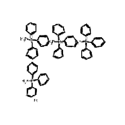 P[PH](c1ccccc1)(c1ccccc1)c1ccccc1.P[PH](c1ccccc1)(c1ccccc1)c1ccccc1.P[PH](c1ccccc1)(c1ccccc1)c1ccccc1.P[PH](c1ccccc1)(c1ccccc1)c1ccccc1.[Pt]